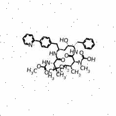 CC[C@H](C)[C@@H](C(=O)N[C@@H](Cc1ccccc1)[C@@H](O)C[C@H](Cc1ccc(-c2ccccn2)cc1)NC(=O)[C@@H](NC(=O)OC)C(C)(C)C)N(C)C(=O)O